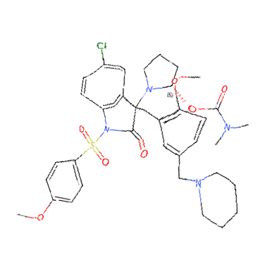 COc1ccc(S(=O)(=O)N2C(=O)C(c3cc(CN4CCCCC4)ccc3OC)(N3CCC[C@@H]3OC(=O)N(C)C)c3cc(Cl)ccc32)cc1